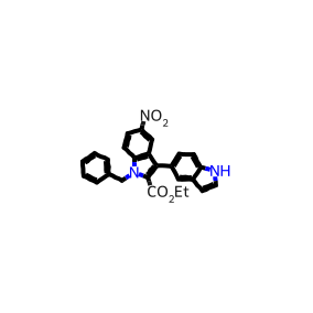 CCOC(=O)c1c(-c2ccc3[nH]ccc3c2)c2cc([N+](=O)[O-])ccc2n1Cc1ccccc1